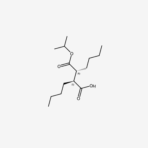 CCCC[C@H](C(=O)O)[C@@H](CCCC)C(=O)OC(C)C